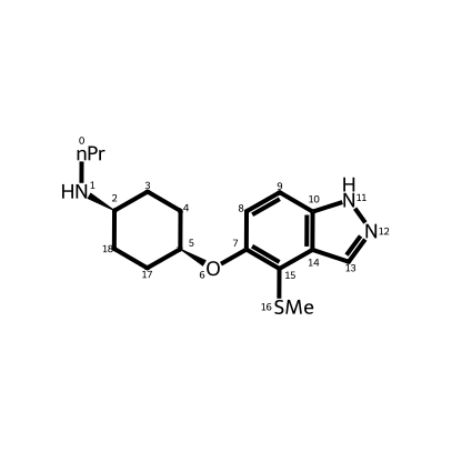 CCCN[C@H]1CC[C@@H](Oc2ccc3[nH]ncc3c2SC)CC1